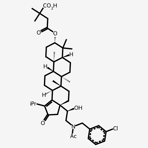 CC(=O)N(Cc1cccc(Cl)c1)C[C@H](O)[C@@]12CC[C@]3(C)[C@H](CC[C@@H]4[C@@]5(C)CC[C@H](OC(=O)CC(C)(C)C(=O)O)C(C)(C)[C@@H]5CC[C@]43C)C1=C(C(C)C)C(=O)C2